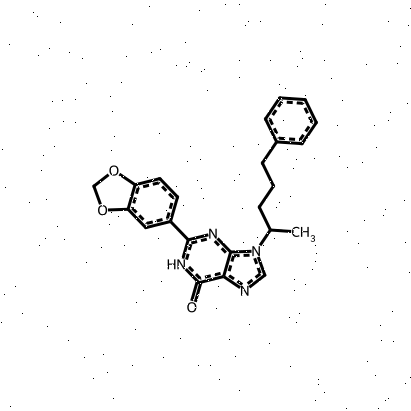 CC(CCCc1ccccc1)n1cnc2c(=O)[nH]c(-c3ccc4c(c3)OCO4)nc21